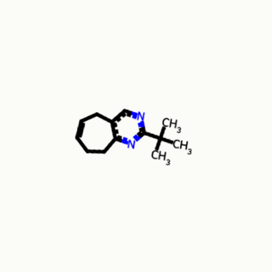 CC(C)(C)c1ncc2c(n1)CCC=CC2